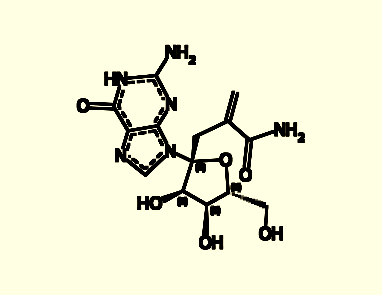 C=C(C[C@@]1(n2cnc3c(=O)[nH]c(N)nc32)O[C@H](CO)[C@@H](O)[C@H]1O)C(N)=O